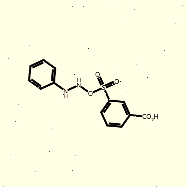 O=C(O)c1cccc(S(=O)(=O)ONNc2ccccc2)c1